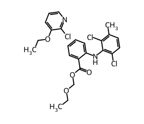 CCOCOC(=O)c1ccccc1Nc1c(Cl)ccc(C)c1Cl.CCOc1cccnc1Cl